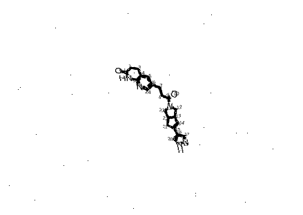 O=C1CCc2cc(CCC(=O)N3CC4C=C(c5cn[nH]c5)CC4C3)cnc2N1